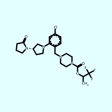 CC(OC(=O)N1CCN(Cc2ccc(Cl)cc2N2CC[C@H](N3CCCC3=O)C2)CC1)C(F)(F)F